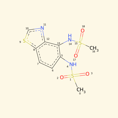 CS(=O)(=O)Nc1ccc2scnc2c1NS(C)(=O)=O